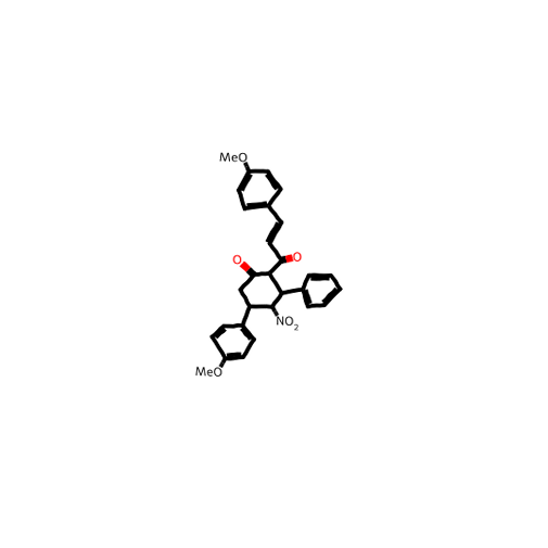 COc1ccc(C=CC(=O)C2C(=O)CC(c3ccc(OC)cc3)C([N+](=O)[O-])C2c2ccccc2)cc1